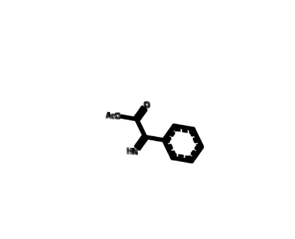 CC(=O)OC(=O)C(=N)c1ccccc1